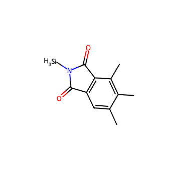 Cc1cc2c(c(C)c1C)C(=O)N([SiH3])C2=O